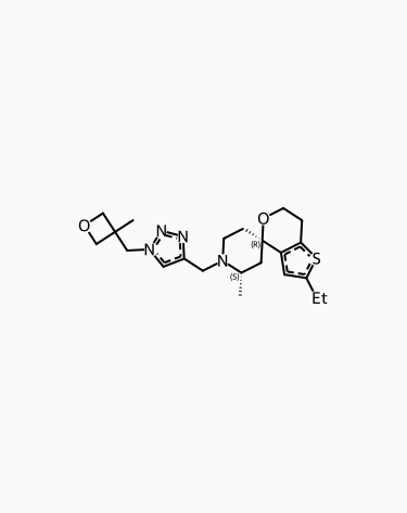 CCc1cc2c(s1)CCO[C@@]21CCN(Cc2cn(CC3(C)COC3)nn2)[C@@H](C)C1